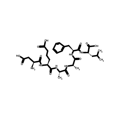 CC(C)C[C@H](NC(=O)[C@H](Cc1ccccc1)NC(=O)[C@H](C)NC(=O)[C@H](C)NC(=O)[C@H](CCCC(=O)O)NC(=O)[C@@H](N)CC(=O)O)C(=O)O